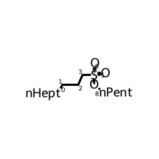 CCCCCCCCCCS(=O)(=O)OCCCCC